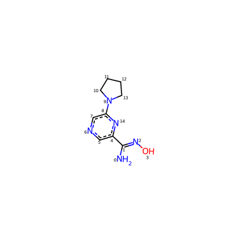 N/C(=N\O)c1cncc(N2CCCC2)n1